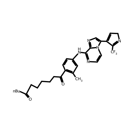 CCCCC(=O)CCCCCC(=O)c1ccc(Nc2nccn3c(C4=CCN=C4C(F)(F)F)cnc23)cc1C